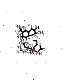 [2H]O[C@@H]1CC(CC[C@@H]2[C@@H]3C(=C([2H])[C@]([2H])(C([2H])([2H])[2H])C([2H])([2H])C3OC(=O)[C@@H](C([2H])([2H])[2H])C([2H])([2H])C([2H])([2H])[2H])C([2H])=C([2H])[C@]2([2H])C)OC(=O)C1([2H])[2H]